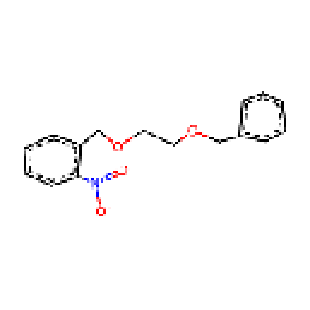 O=[N+]([O-])c1ccccc1COCCOCc1ccccc1